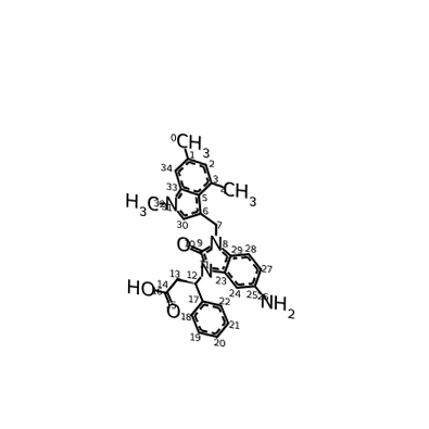 Cc1cc(C)c2c(Cn3c(=O)n([C@H](CC(=O)O)c4ccccc4)c4cc(N)ccc43)cn(C)c2c1